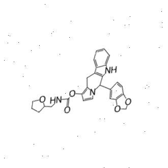 O=C(NCC1CCCO1)Oc1ccn2c1Cc1c([nH]c3ccccc13)C2c1ccc2c(c1)OCO2